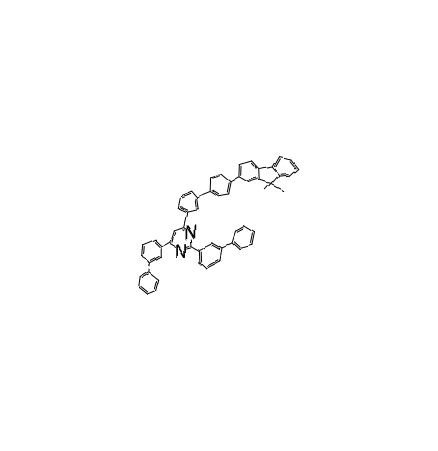 CC1(C)c2ccccc2-c2ccc(-c3ccc(-c4cccc(-c5cc(-c6cccc(-c7ccccc7)c6)nc(-c6cccc(-c7ccccc7)c6)n5)c4)cc3)cc21